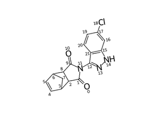 O=C1C2C3C=CC(C3)C2C(=O)N1c1n[nH]c2cc(Cl)ccc12